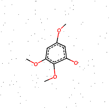 COc1cc([O])c(OC)c(OC)c1